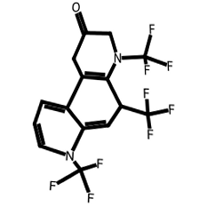 O=C1CC2=C(C(C(F)(F)F)C=C3C2=CC=CN3C(F)(F)F)N(C(F)(F)F)C1